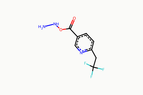 NNOC(=O)c1ccc(CC(F)(F)F)nc1